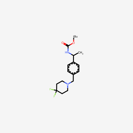 CC(NC(=O)OC(C)(C)C)c1ccc(CN2CCC(F)(F)CC2)cc1